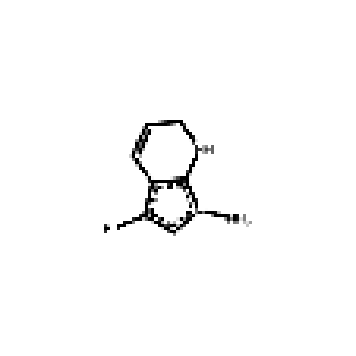 Nn1cc(Br)c2c1NCC=C2